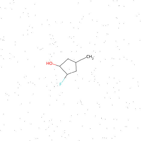 [CH2]C1CC(O)C(F)C1